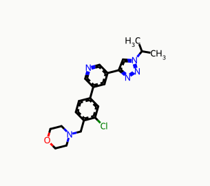 CC(C)n1cc(-c2cncc(-c3ccc(CN4CCOCC4)c(Cl)c3)c2)nn1